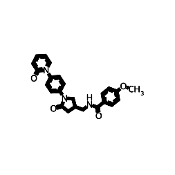 COc1ccc(C(=O)NCC2CC(=O)N(c3ccc(-n4ccccc4=O)cc3)C2)cc1